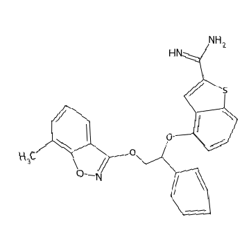 Cc1cccc2c(OCC(Oc3cccc4sc(C(=N)N)cc34)c3ccccc3)noc12